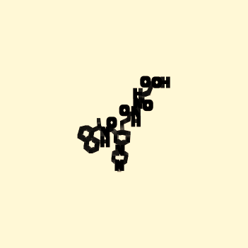 CC(NC(=O)c1cc(N2CCN(C)CC2)ccc1CCC(=O)NNC(=O)/C=C/C(=O)O)c1cccc2ccccc12